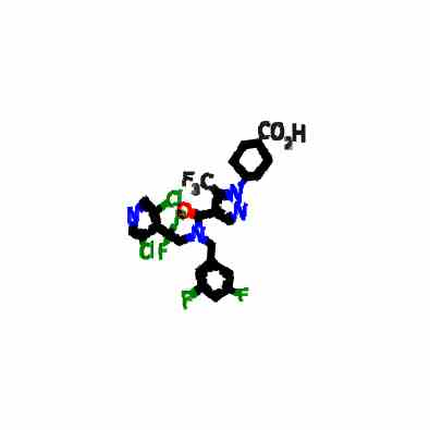 O=C(c1cnn([C@H]2CC[C@H](C(=O)O)CC2)c1C(F)(F)F)N(Cc1cc(F)cc(F)c1)CC(F)(F)c1c(Cl)cncc1Cl